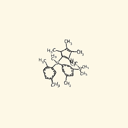 CC1=C(C)C(C)C([Si](C)(c2cc(C)cc([Si](C)(C)C)c2)c2cc(C)ccc2C)=C1C